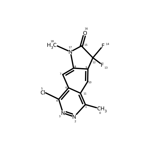 Cc1nnc(Cl)c2cc3c(cc12)C(F)(F)C(=O)N3C